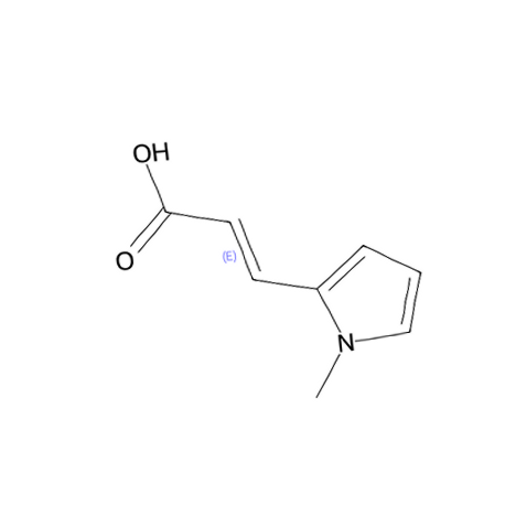 Cn1cccc1/C=C/C(=O)O